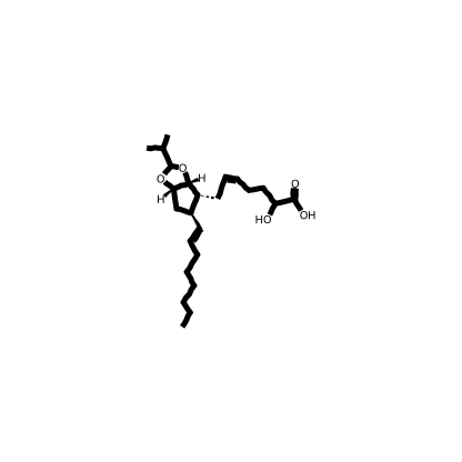 CCCCCC/C=C/[C@H]1C[C@@H]2OC(C(C)C)O[C@@H]2[C@@H]1C/C=C\CCC(O)C(=O)O